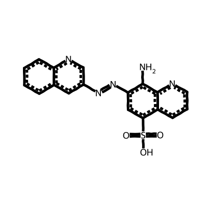 Nc1c(/N=N/c2cnc3ccccc3c2)cc(S(=O)(=O)O)c2cccnc12